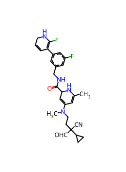 CC1=CC(N(C)CCC(C#N)(C=O)C2CC2)=CC(C(=O)NCc2cc(F)cc(C3=C(F)NCC=C3)c2)N1